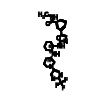 CNC(=O)c1cccc(-c2cnc(N[C@@H]3CCCC[C@H]3N[C@H]3CCCN(c4cnc(C(F)(F)F)nc4)C3)o2)c1